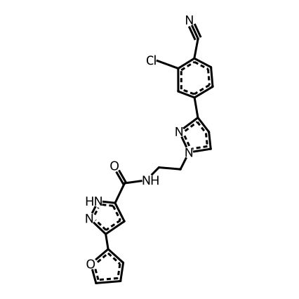 N#Cc1ccc(-c2ccn(CCNC(=O)c3cc(-c4ccco4)n[nH]3)n2)cc1Cl